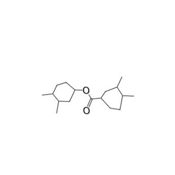 CC1CCC(OC(=O)C2CCC(C)C(C)C2)CC1C